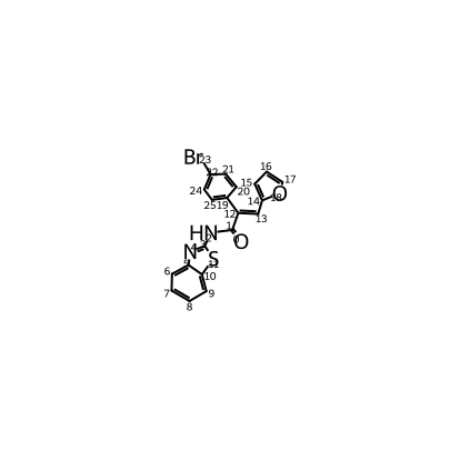 O=C(Nc1nc2ccccc2s1)/C(=C/c1ccco1)c1ccc(Br)cc1